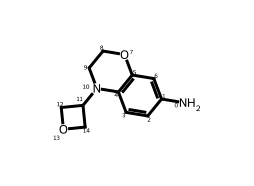 Nc1ccc2c(c1)OCCN2C1COC1